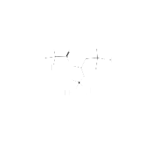 CCC(C)(C)C(=O)OC(CC(C)(C)O)CC(C)(O)C(F)(F)F